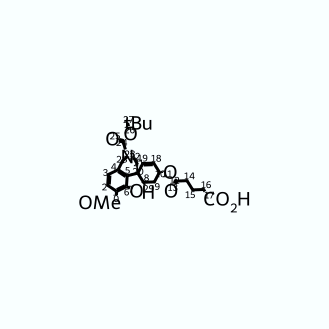 COc1ccc2c3c1O[C@H]1C[C@@H](OC(=O)CCCC(=O)O)C=C[C@@]31CCN(C(=O)OC(C)(C)C)C2